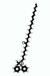 CCCCCC=CCC=CCCCCCCCCC(=O)CCCCCCCCO[Si](c1ccccc1)(c1ccccc1)C(C)(C)C